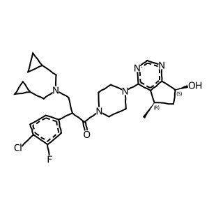 C[C@@H]1C[C@H](O)c2ncnc(N3CCN(C(=O)C(CN(CC4CC4)CC4CC4)c4ccc(Cl)c(F)c4)CC3)c21